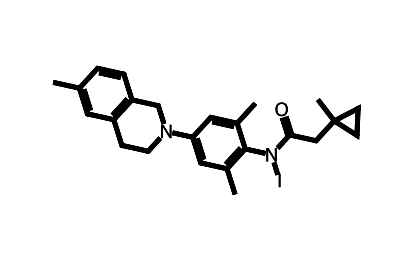 Cc1ccc2c(c1)CCN(c1cc(C)c(N(I)C(=O)CC3(C)CC3)c(C)c1)C2